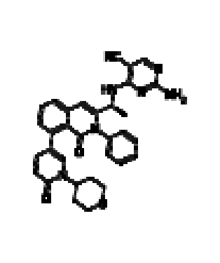 C[C@H](Nc1nc(N)ncc1C#N)c1cc2cccc(-c3ccc(=O)n(C4CCOCC4)c3)c2c(=O)n1-c1ccccc1